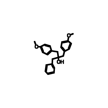 COc1ccc(CC(O)(Cc2ccccc2)Cc2ccc(OC)cc2)cc1